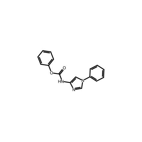 O=C(Nc1cn(-c2ccccc2)cn1)Oc1ccccc1